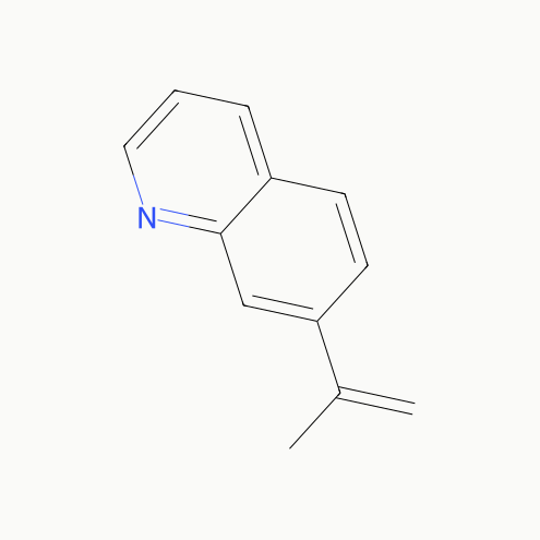 C=C(C)c1ccc2cccnc2c1